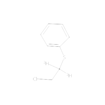 [2H]C([2H])(CCl)Sc1ccccc1